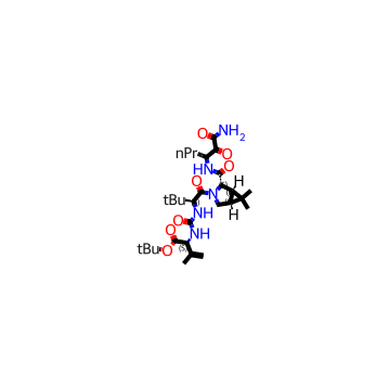 C=C(C)[C@H](NC(=O)N[C@H](C(=O)N1C[C@H]2[C@@H]([C@H]1C(=O)NC(CCC)C(=O)C(N)=O)C2(C)C)C(C)(C)C)C(=O)OC(C)(C)C